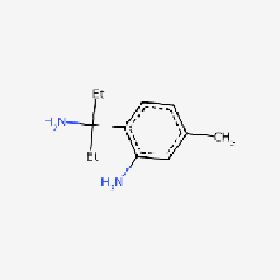 CCC(N)(CC)c1ccc(C)cc1N